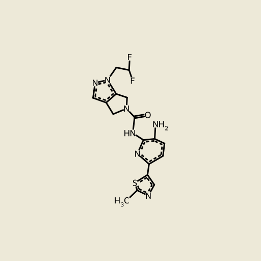 Cc1ncc(-c2ccc(N)c(NC(=O)N3Cc4cnn(CC(F)F)c4C3)n2)s1